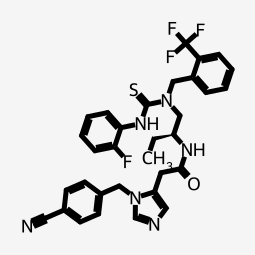 CC[C@@H](CN(Cc1ccccc1C(F)(F)F)C(=S)Nc1ccccc1F)NC(=O)Cc1cncn1Cc1ccc(C#N)cc1